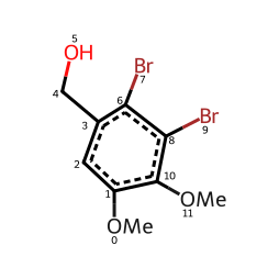 COc1cc(CO)c(Br)c(Br)c1OC